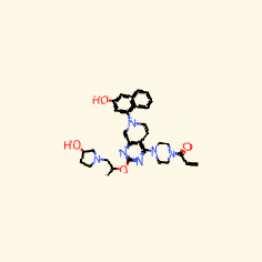 C=CC(=O)N1CCN(c2nc(OC(C)CN3CCC(O)C3)nc3c2CCN(c2cc(O)cc4ccccc24)C3)CC1